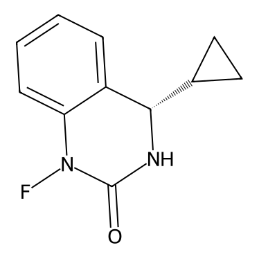 O=C1N[C@@H](C2CC2)c2ccccc2N1F